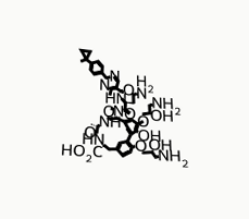 Cc1nc(-c2ccc(C3(C)CC3)cc2)ncc1C(=O)N[C@@H](CCN)C(=O)N(C)[C@@H]1C(=O)N[C@@H](C)C(=O)N[C@H](C(=O)O)Cc2ccc(OC[C@H](O)CN)c(c2)-c2cc1cc(OC[C@H](O)CN)c2O